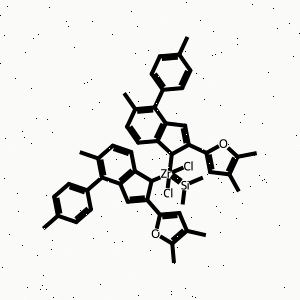 Cc1ccc(-c2c(C)ccc3c2C=C(c2cc(C)c(C)o2)[CH]3[Zr]([Cl])([Cl])([CH]2C(c3cc(C)c(C)o3)=Cc3c2ccc(C)c3-c2ccc(C)cc2)=[Si](C)C)cc1